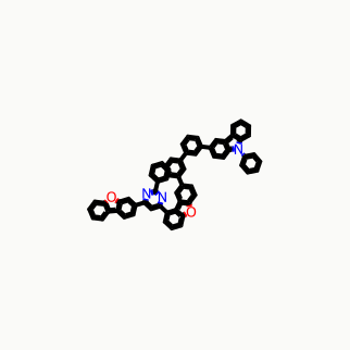 c1ccc(-c2nc(-c3ccc4c(c3)oc3ccccc34)cc(-c3cccc4oc5ccc(-c6cccc(-c7cccc(-c8ccc9c(c8)c8ccccc8n9-c8ccccc8)c7)c6)cc5c34)n2)cc1